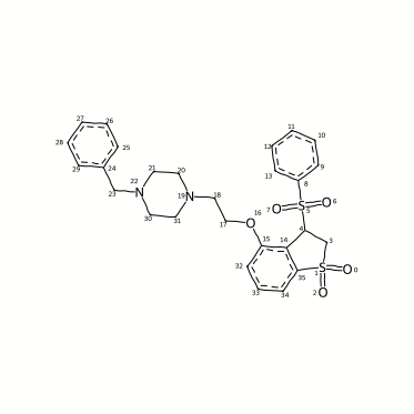 O=S1(=O)CC(S(=O)(=O)c2ccccc2)c2c(OCCN3CCN(Cc4ccccc4)CC3)cccc21